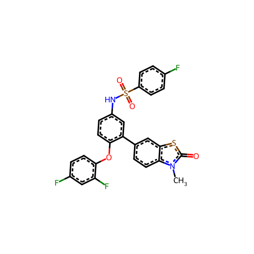 Cn1c(=O)sc2cc(-c3cc(NS(=O)(=O)c4ccc(F)cc4)ccc3Oc3ccc(F)cc3F)ccc21